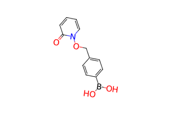 O=c1ccccn1OCc1ccc(B(O)O)cc1